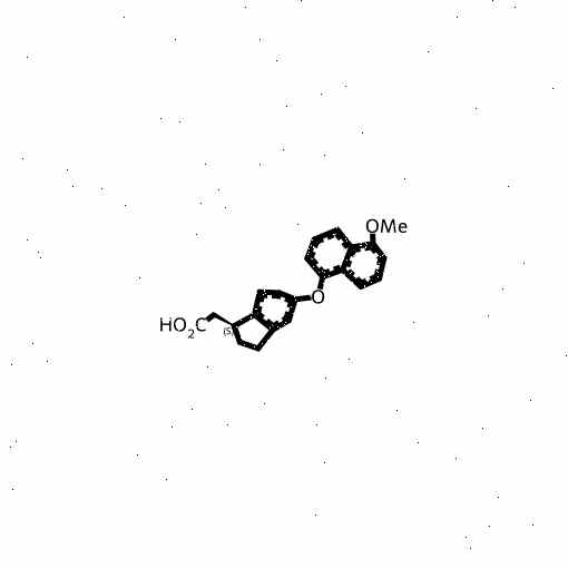 COc1cccc2c(Oc3ccc4c(c3)CC[C@H]4CC(=O)O)cccc12